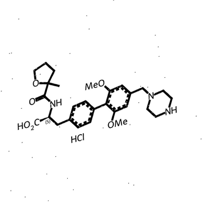 COc1cc(CN2CCNCC2)cc(OC)c1-c1ccc(C[C@H](NC(=O)C2(C)CCCO2)C(=O)O)cc1.Cl